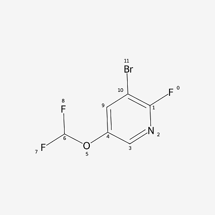 Fc1ncc(OC(F)F)cc1Br